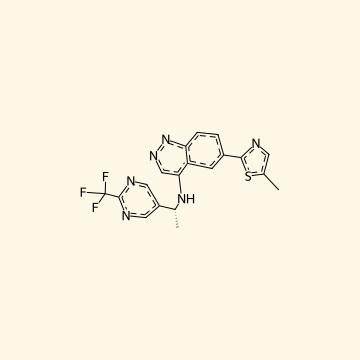 Cc1cnc(-c2ccc3nncc(N[C@H](C)c4cnc(C(F)(F)F)nc4)c3c2)s1